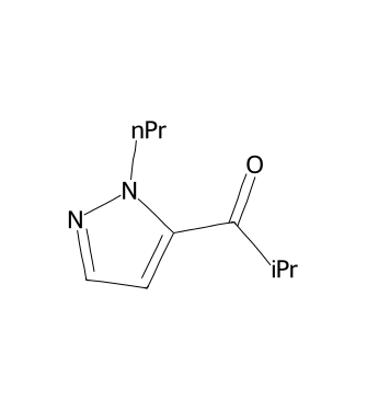 CCCn1nccc1C(=O)C(C)C